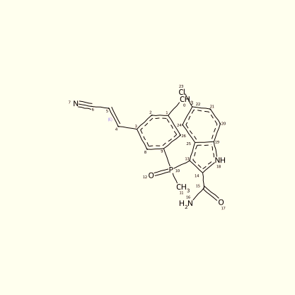 Cc1cc(/C=C/C#N)cc(P(C)(=O)c2c(C(N)=O)[nH]c3ccc(Cl)cc23)c1